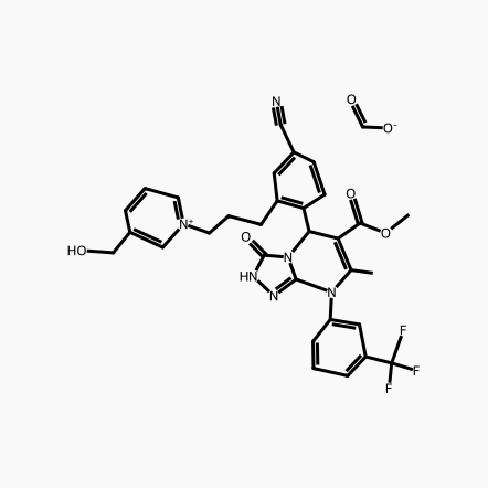 COC(=O)C1=C(C)N(c2cccc(C(F)(F)F)c2)c2n[nH]c(=O)n2C1c1ccc(C#N)cc1CCC[n+]1cccc(CO)c1.O=C[O-]